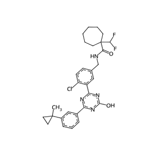 CC1(c2cccc(-c3nc(O)nc(-c4cc(CNC(=O)C5(C(F)F)CCCCCC5)ccc4Cl)n3)c2)CC1